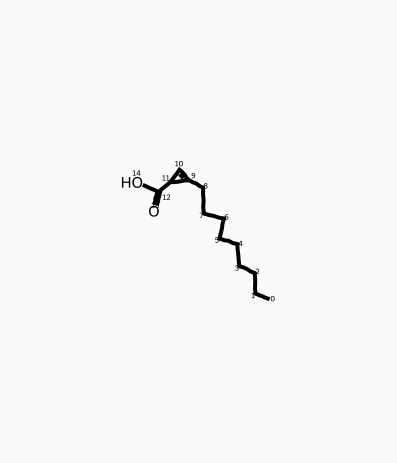 CCCCCCCCCC1=CC1C(=O)O